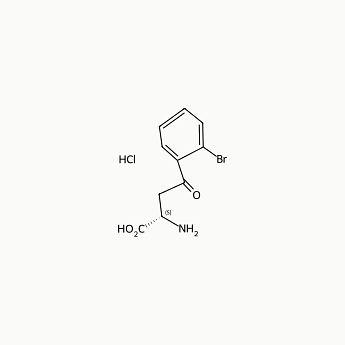 Cl.N[C@@H](CC(=O)c1ccccc1Br)C(=O)O